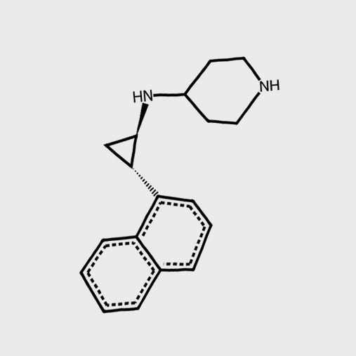 c1ccc2c([C@@H]3C[C@H]3NC3CCNCC3)cccc2c1